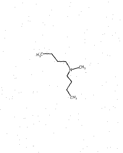 CCCCN(C)CCCC